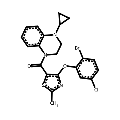 Cc1nc(Oc2cc(Cl)ccc2Br)c(C(=O)N2CCN(C3CC3)c3ccccc32)s1